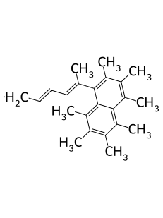 [CH2]C=CC=C(C)c1c(C)c(C)c(C)c2c(C)c(C)c(C)c(C)c12